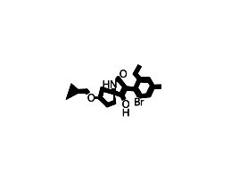 CCc1cc(C)cc(Br)c1C1=C(O)[C@@]2(CC[C@@H](OCC3CC3)C2)NC1=O